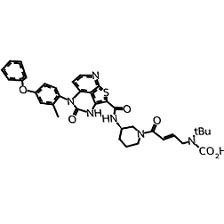 Cc1cc(Oc2ccccc2)ccc1N1C(=O)Nc2c(C(=O)N[C@@H]3CCCN(C(=O)/C=C/CN(C(=O)O)C(C)(C)C)C3)sc3nccc1c23